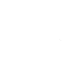 C1=NCCc2cc(-c3csc4ccccc34)ccc21